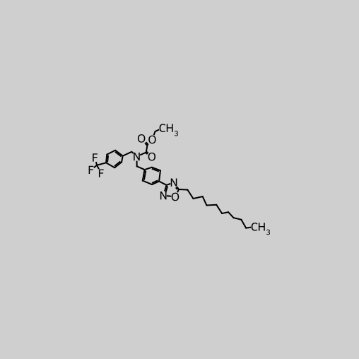 CCCCCCCCCCCc1nc(-c2ccc(CN(Cc3ccc(C(F)(F)F)cc3)C(=O)C(=O)OCC)cc2)no1